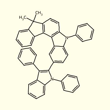 CC1(C)c2ccccc2-c2c1ccc1c2c2cc(-c3c(-c4ccccc4)c4ccccc4n3-c3ccccc3)ccc2n1-c1ccccc1